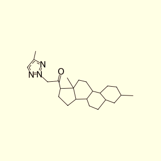 Cc1cnn(CC(=O)C2CCC3C4CCC5CC(C)CCC5C4CCC23C)n1